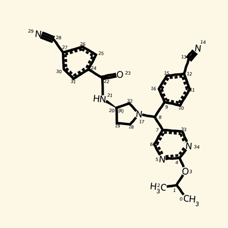 CC(C)Oc1ncc(C(c2ccc(C#N)cc2)N2CC[C@@H](NC(=O)c3ccc(C#N)cc3)C2)cn1